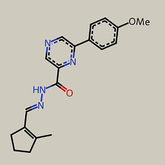 COc1ccc(-c2cncc(C(=O)N/N=C/C3=C(C)CCC3)n2)cc1